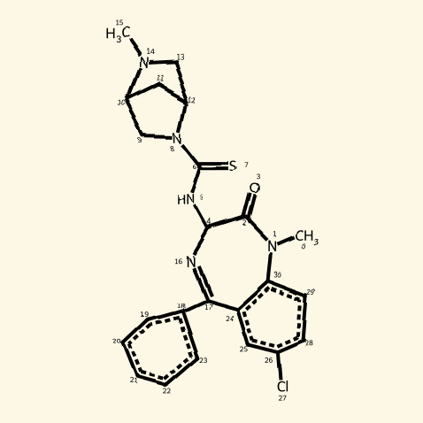 CN1C(=O)C(NC(=S)N2CC3CC2CN3C)N=C(c2ccccc2)c2cc(Cl)ccc21